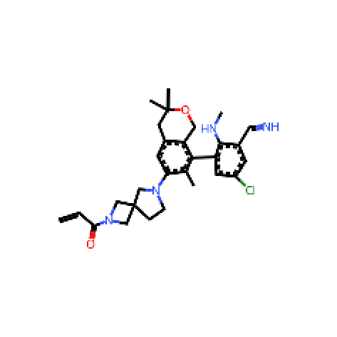 C=CC(=O)N1CC2(CCN(c3cc4c(c(-c5cc(Cl)cc(C=N)c5NC)c3C)COC(C)(C)C4)C2)C1